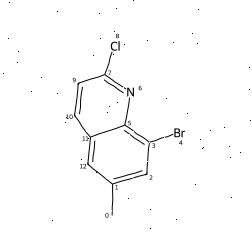 Cc1cc(Br)c2nc(Cl)ccc2c1